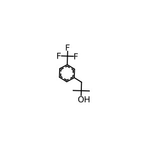 CC(C)(O)Cc1cccc(C(F)(F)F)c1